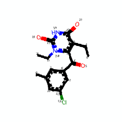 CCc1c(C(=O)c2cc(C)cc(Cl)c2)n(CC)c(=O)[nH]c1=O